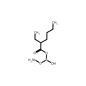 CCCCC(CC)C(=O)OB(O)[O][SbH2]